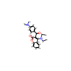 CCN(CC)c1c(C(=O)c2ccc(N(C)C)cc2)c(=O)oc2ccccc12